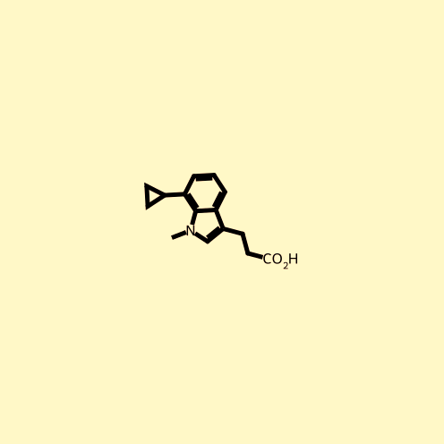 Cn1cc(CCC(=O)O)c2cccc(C3CC3)c21